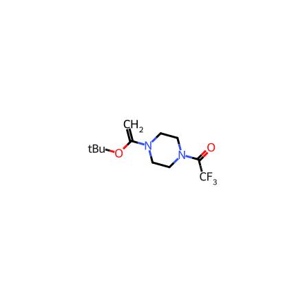 C=C(OC(C)(C)C)N1CCN(C(=O)C(F)(F)F)CC1